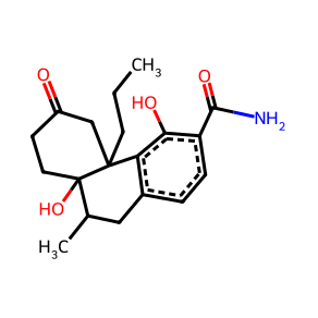 CCCC12CC(=O)CCC1(O)C(C)Cc1ccc(C(N)=O)c(O)c12